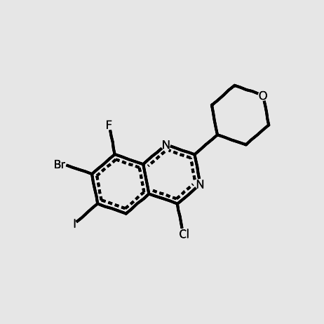 Fc1c(Br)c(I)cc2c(Cl)nc(C3CCOCC3)nc12